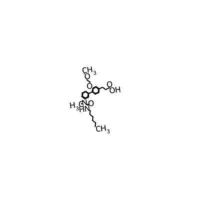 CCCCCCCNC(=O)N(C)c1cccc(-c2ccc(CCC(=O)O)cc2OCCOCC)c1